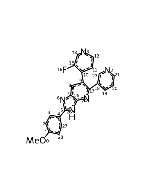 COc1ccc(-c2nc3cc(-c4ccncc4F)c(-c4cccnc4)nc3[nH]2)cc1